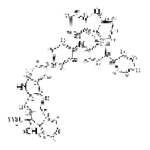 CC1(C)c2ccccc2-c2cc3c(cc21)[nH]c1ccc(-c2ccc(N(c4ccc(-c5ccccc5)cc4)c4cccc5oc6ccccc6c45)cc2)cc13